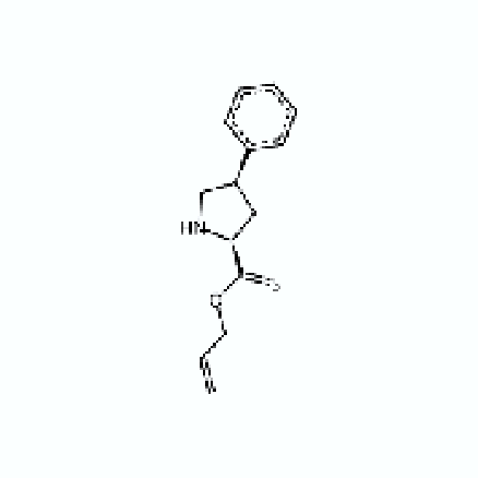 C=CCOC(=S)[C@@H]1C[C@H](c2ccccc2)CN1